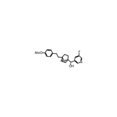 COc1ccc(CCC23CCC([C@H](O)c4cncc(F)c4)(CC2)N3)cc1